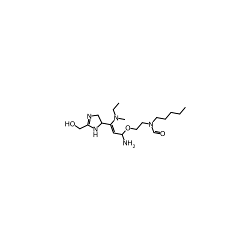 CCCCCN(C=O)CCOC(N)/C=C(/C1CN=C(CO)N1)N(C)CC